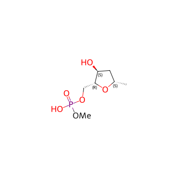 COP(=O)(O)OC[C@H]1O[C@@H](C)C[C@@H]1O